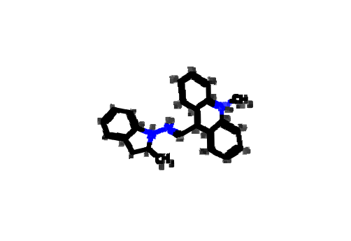 CC1Cc2ccccc2N1N=Cc1c2ccccc2[n+](C)c2ccccc12